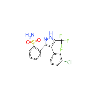 NS(=O)(=O)c1ccccc1-c1n[nH]c(C(F)(F)F)c1-c1cccc(Cl)c1